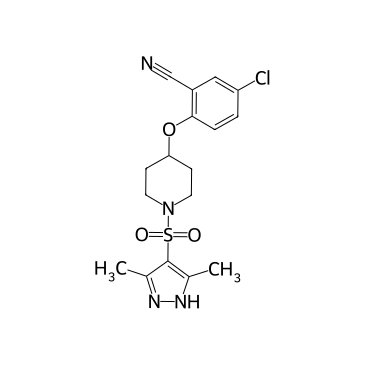 Cc1n[nH]c(C)c1S(=O)(=O)N1CCC(Oc2ccc(Cl)cc2C#N)CC1